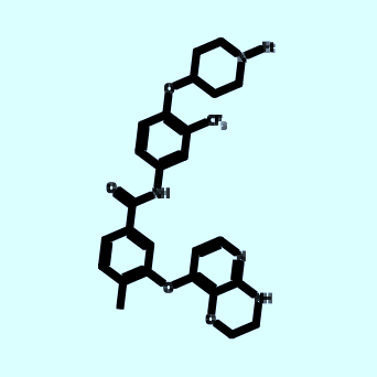 CCN1CCC(Oc2ccc(NC(=O)c3ccc(C)c(Oc4ccnc5c4OCCN5)c3)cc2C(F)(F)F)CC1